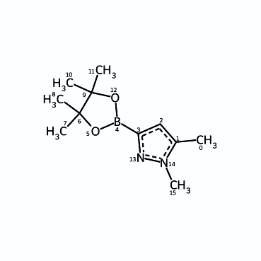 Cc1cc(B2OC(C)(C)C(C)(C)O2)nn1C